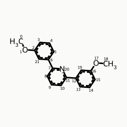 COc1cccc(-c2cccc(-c3cccc(OC)c3)n2)c1